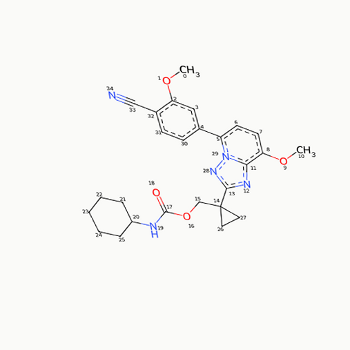 COc1cc(-c2ccc(OC)c3nc(C4(COC(=O)NC5CCCCC5)CC4)nn23)ccc1C#N